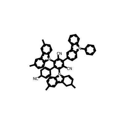 Cc1ccc2c(c1)c1c(n2-c2c(C#N)c(-c3ccc4c(c3)c3ccccc3n4-c3ccccc3)c(C#N)c(-n3c4ccc(C)cc4c4cc(C)ccc43)c2C2=CCC(C#N)C=C2)C=CC(C)C1